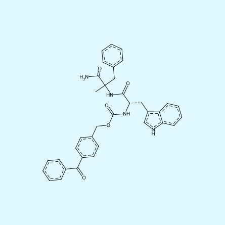 CC(Cc1ccccc1)(NC(=O)[C@H](Cc1c[nH]c2ccccc12)NC(=O)OCc1ccc(C(=O)c2ccccc2)cc1)C(N)=O